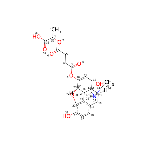 C[C@H](OC(=O)CCC(=O)OC1=CC[C@@]2(O)[C@H]3Cc4ccc(O)c5c4[C@@]2(CCN3C)[C@H]1O5)C(=O)O